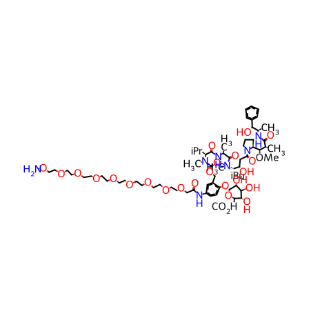 CC[C@H](C)[C@@H]([C@H](O)CC(=O)N1CCC[C@H]1[C@H](OC)[C@@H](C)C(=O)N[C@H](C)[C@@H](O)c1ccccc1)N(C)C(=O)[C@H](C)NC(=O)[C@H](C(C)C)N(C)C(=O)OCc1cc(NC(=O)COCCOCCOCCOCCOCCOCCOCCOCCON)ccc1O[C@@H]1OC(C(=O)O)[C@@H](O)C(O)C1O